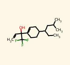 C=CC(O)(C1=CCC(C(CC)CC(C)C)CC1)C(F)(F)F